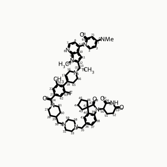 CNc1ccn(-c2ccnc3c2cc([C@H](C)N2CC=C(c4c(C)cc(C(=O)N5CCC(CN6CCN(Cc7ccc8c(c7)C7(CCCC7)C(=O)N8C7CCC(=O)NC7=O)CC6)CC5)cc4F)CC2)n3C)c(=O)c1